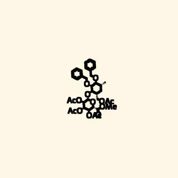 COC(=O)[C@H]1O[C@@H](O[C@@H]2[C@@H](COC(C)=O)C[C@@H](C)[C@H](OCc3ccccc3)[C@H]2OCc2ccccc2)[C@H](OC(C)=O)[C@@H](OC(C)=O)[C@@H]1OC(C)=O